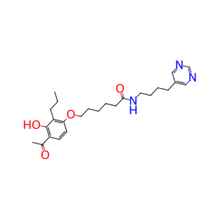 CCCc1c(OCCCCCC(=O)NCCCCc2cncnc2)ccc(C(C)=O)c1O